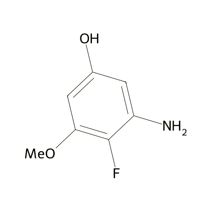 COc1cc(O)cc(N)c1F